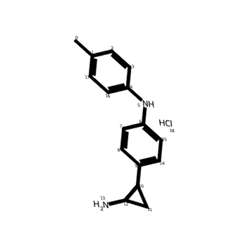 Cc1ccc(Nc2ccc(C3CC3N)cc2)cc1.Cl